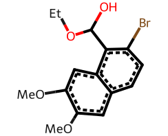 CCOC(O)c1c(Br)ccc2cc(OC)c(OC)cc12